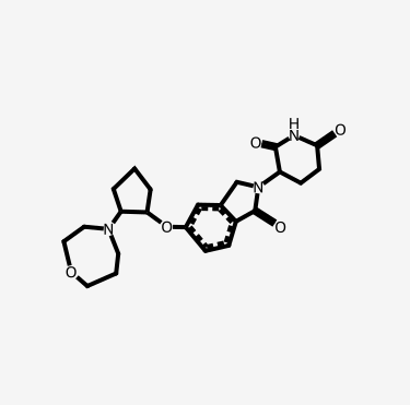 O=C1CCC(N2Cc3cc(OC4CCCC4N4CCCOCC4)ccc3C2=O)C(=O)N1